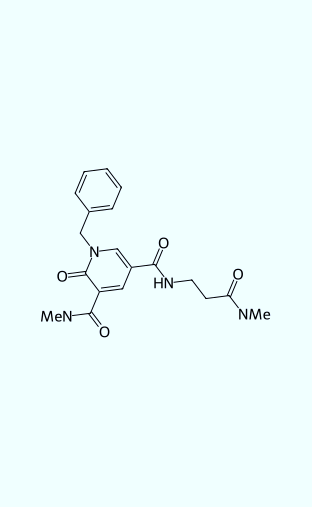 CNC(=O)CCNC(=O)c1cc(C(=O)NC)c(=O)n(Cc2ccccc2)c1